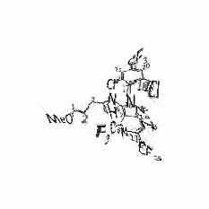 COCCCCNc1c2c(C(F)(F)F)nc(C(F)(F)F)nc2nn1-c1c(Cl)cc(C(F)(F)F)cc1Cl